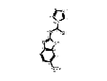 COc1ccc2nc(NC(S)n3ccnc3)sc2c1